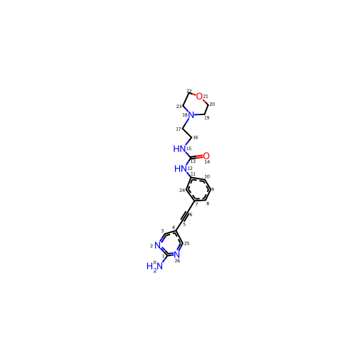 Nc1ncc(C#Cc2cccc(NC(=O)NCCN3CCOCC3)c2)cn1